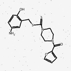 Nc1ccc(O)c(CSC(=S)N2CCN(C(=O)c3ccco3)CC2)c1